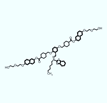 CCCCCCN(/N=C/c1cc(OCC2CCC(C(=O)Oc3ccc4cc(OCCOCCO)ccc4c3)CC2)ccc1OCC1CCC(C(=O)Oc2ccc3cc(OCCOCCO)ccc3c2)CC1)c1nc2ccccc2s1